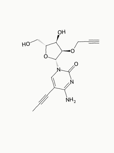 C#CCO[C@@H]1[C@H](O)[C@@H](CO)O[C@H]1n1cc(C#CC)c(N)nc1=O